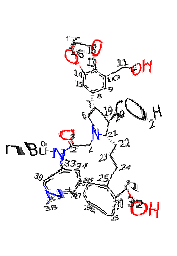 CCCCN(C(=O)CN1C[C@H](c2cc(CO)c3c(c2)OCO3)[C@@H](C(=O)O)[C@@H]1CCCc1ccccc1CO)c1ccc[n+](C)c1